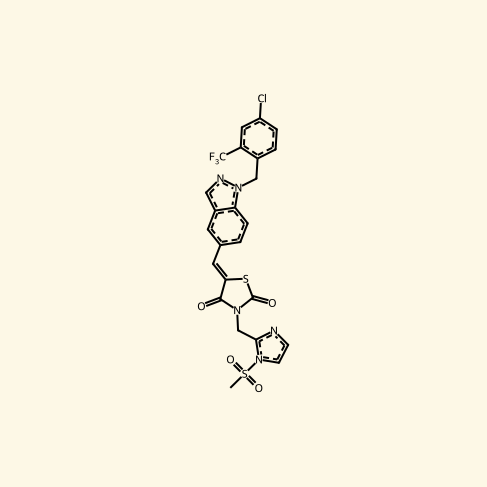 CS(=O)(=O)n1ccnc1CN1C(=O)S/C(=C\c2ccc3c(cnn3Cc3ccc(Cl)cc3C(F)(F)F)c2)C1=O